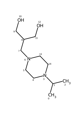 CC(C)N1CCN(CC(CO)CO)CC1